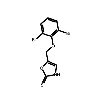 S=c1[nH]cc(COc2c(Br)cccc2Br)o1